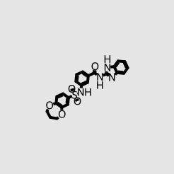 O=C(Nc1nc2ccccc2[nH]1)c1cccc(NS(=O)(=O)c2ccc3c(c2)OCCCO3)c1